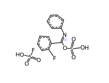 O=S(=O)(O)F.O=S(=O)(O)O/C(=N/c1ccccc1)c1ccccc1F